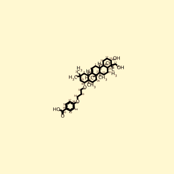 CC1(C)C[C@@H]2C3=CC[C@@H]4[C@@]5(C)CC[C@H](O)C(C)(CO)C5CC[C@@]4(C)[C@]3(C)CC[C@@]2(C)[C@H](OCCCOc2ccc(C(=O)O)cc2)C1